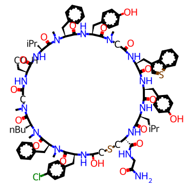 CCCC[C@H]1C(=O)N(C)CC(=O)N[C@@H](CC(=O)O)C(=O)N[C@@H](C(C)C)C(=O)N(C)[C@@H](Cc2ccccc2)C(=O)N[C@@H](Cc2ccc(O)cc2)C(=O)N(C)CC(=O)N[C@@H](Cc2csc3ccccc23)C(=O)N[C@@H](Cc2ccc(O)cc2)C(=O)N[C@@H](CC(C)C)C(=O)N[C@H](C(=O)NCC(N)=O)CSCC(O)N[C@@H](Cc2ccc(Cl)cc2)C(=O)N(C)[C@@H](Cc2ccccc2)C(=O)N1C